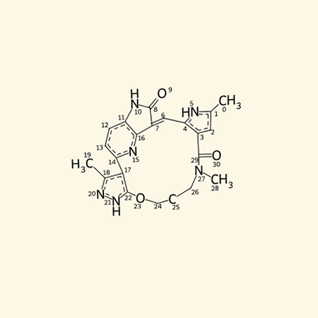 Cc1cc2c([nH]1)/C=C1\C(=O)Nc3ccc(nc31)-c1c(C)n[nH]c1OCCCN(C)C2=O